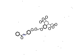 O=C1CC(C2CC3C(=O)OC(=O)C3c3cc(OCCOCOc4ccc(/C=C/C(=O)c5ccccc5)cc4)ccc32)C(=O)O1